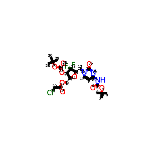 CC(C)(C)OC(=O)Nc1ccn(C[C@@H]2O[C@H](COC(=O)CCl)[C@@H](OC(=O)OC(C)(C)C)C2(F)F)c(=O)n1